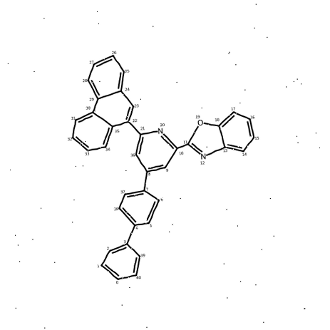 c1ccc(-c2ccc(-c3cc(-c4nc5ccccc5o4)nc(-c4cc5ccccc5c5ccccc45)c3)cc2)cc1